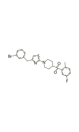 Cc1ccc(F)cc1S(=O)(=O)C1CCN(c2nc(Cc3cccc(Br)c3)cs2)CC1